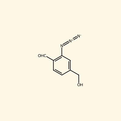 [N-]=[N+]=Nc1cc(CO)ccc1C=O